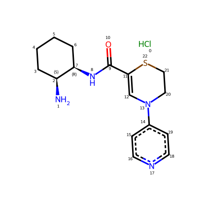 Cl.N[C@H]1CCCC[C@H]1NC(=O)C1=CN(c2ccncc2)CCS1